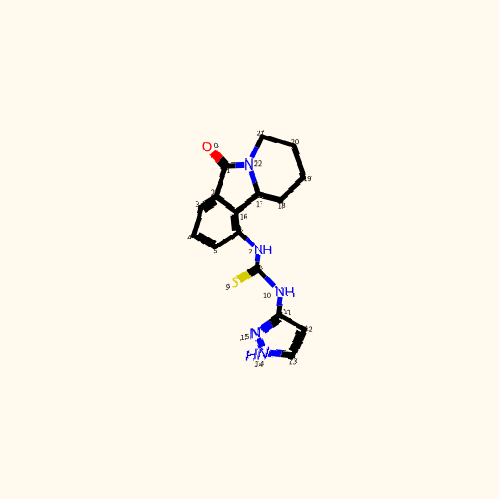 O=C1c2cccc(NC(=S)Nc3cc[nH]n3)c2C2CCCCN12